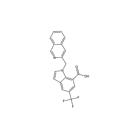 O=C(O)c1cc(C(F)(F)F)cc2ccn(Cc3cc4ccccc4cn3)c12